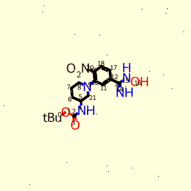 CC(C)(C)OC(=O)NC1CCCN(c2cc(C(=N)NO)ccc2[N+](=O)[O-])C1